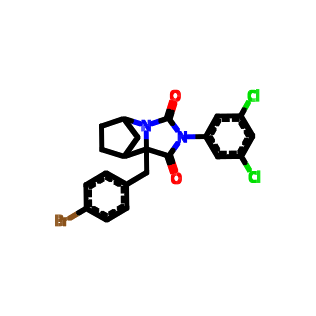 O=C1N(c2cc(Cl)cc(Cl)c2)C(=O)C2(Cc3ccc(Br)cc3)C3CCC(C3)N12